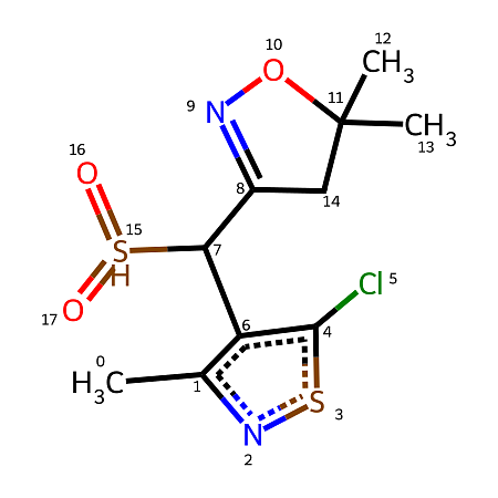 Cc1nsc(Cl)c1C(C1=NOC(C)(C)C1)[SH](=O)=O